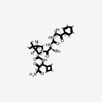 CC(C)[C@H](NC(=O)N[C@H](C(=O)N1C[C@H]2[C@@H]([C@H]1C(=O)NC(C(=O)C(N)=O)C1CCC1)C2(C)C)C(C)(C)C)C(=O)c1ccccc1